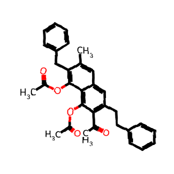 CC(=O)Oc1c(Cc2ccccc2)c(C)cc2cc(CCc3ccccc3)c(C(C)=O)c(OC(C)=O)c12